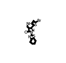 N/C=C1/C(=O)N(c2nc3ccccc3s2)N=C1c1ccc(Br)s1